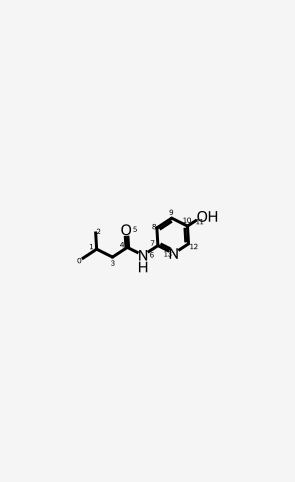 CC(C)CC(=O)Nc1ccc(O)cn1